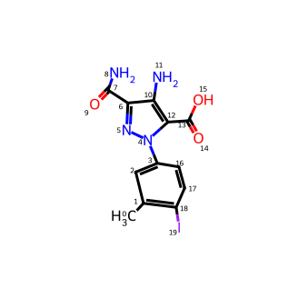 Cc1cc(-n2nc(C(N)=O)c(N)c2C(=O)O)ccc1I